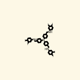 Ic1ccc(NCc2ccc(N(c3ccc(CNc4ccc(I)c(I)c4)cc3)c3ccc(CNc4ccc(I)c(I)c4)cc3)cc2)cc1I